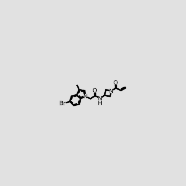 C=CC(=O)N1CC(NC(=O)Cn2cc(C)c3cc(Br)ccc32)C1